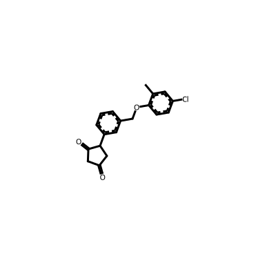 Cc1cc(Cl)ccc1OCc1cccc(C2CC(=O)CC2=O)c1